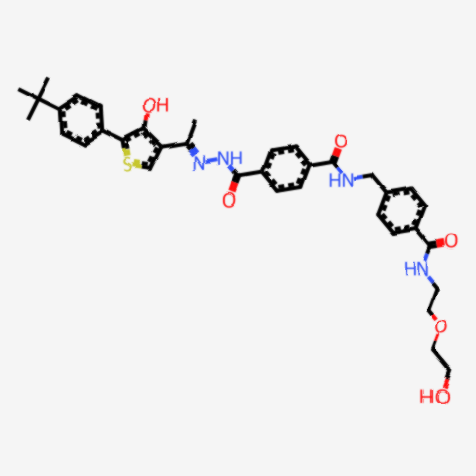 C/C(=N\NC(=O)c1ccc(C(=O)NCc2ccc(C(=O)NCCOCCO)cc2)cc1)c1csc(-c2ccc(C(C)(C)C)cc2)c1O